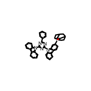 c1ccc(-c2nc(-n3c4ccccc4c4ccccc43)nc(-n3c4ccccc4c4ccc(N5C6CC7CC(C6)CC5C7)cc43)n2)cc1